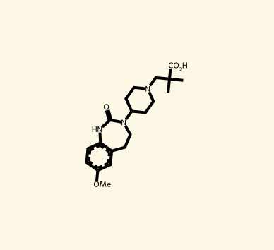 COc1ccc2c(c1)CCN(C1CCN(CC(C)(C)C(=O)O)CC1)C(=O)N2